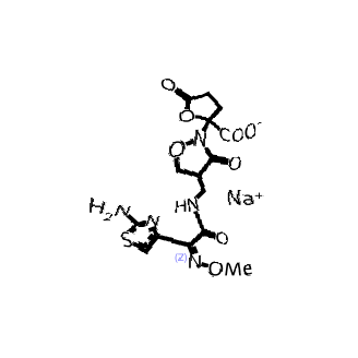 CO/N=C(\C(=O)NCC1CON(C2(C(=O)[O-])CCC(=O)O2)C1=O)c1csc(N)n1.[Na+]